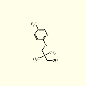 CC(C)(CO)CSc1ccc(C(F)(F)F)cn1